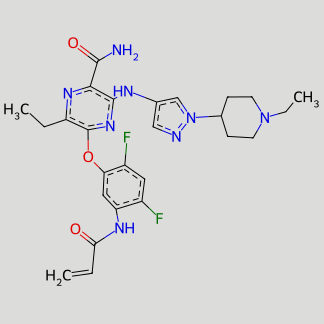 C=CC(=O)Nc1cc(Oc2nc(Nc3cnn(C4CCN(CC)CC4)c3)c(C(N)=O)nc2CC)c(F)cc1F